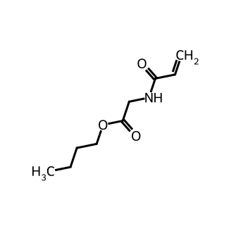 C=CC(=O)NCC(=O)OCCCC